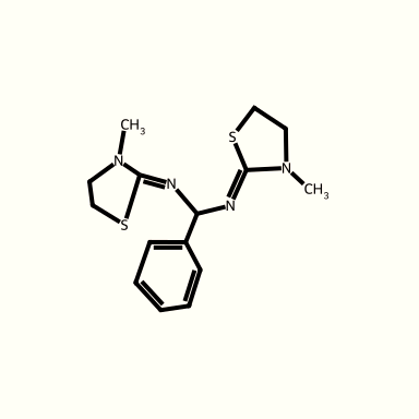 CN1CCSC1=NC(N=C1SCCN1C)c1ccccc1